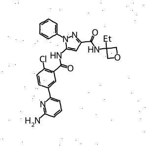 CCC1(NC(=O)c2cc(NC(=O)c3cc(-c4cccc(N)n4)ccc3Cl)n(-c3ccccc3)n2)COC1